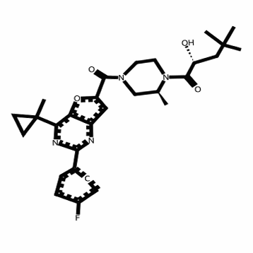 C[C@H]1CN(C(=O)c2cc3nc(-c4ccc(F)cc4)nc(C4(C)CC4)c3o2)CCN1C(=O)[C@H](O)CC(C)(C)C